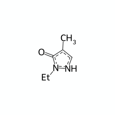 CCn1[nH]cc(C)c1=O